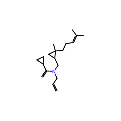 C=CCN(CC1CC1(C)CCC=C(C)C)C(=C)C1CC1